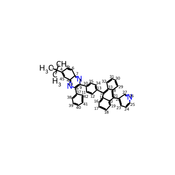 CC(C)(C)c1ccc2nc(-c3ccc(-c4c5ccccc5c(-c5cccnc5)c5ccccc45)cc3)c(-c3ccccc3)nc2c1